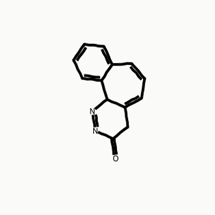 O=C1CC2=CC=Cc3ccccc3C2N=N1